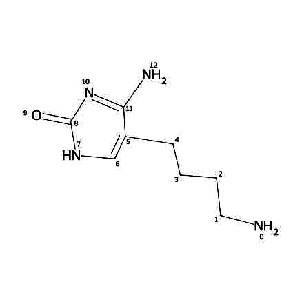 NCCCCc1c[nH]c(=O)nc1N